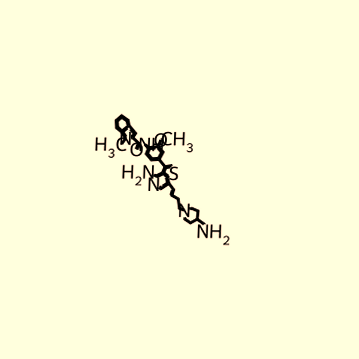 COc1cc(-c2csc3c(C=CCCN4CCC(CN)CC4)cnc(N)c23)ccc1NC(=O)c1cc2ccccc2n1C